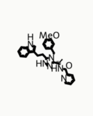 COc1ccc(CN2C([C@@H](C)NC(=O)c3ccccn3)=NNC2CCc2c[nH]c3ccccc23)cc1